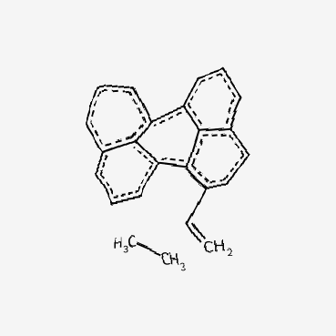 C=Cc1ccc2cccc3c4cccc5cccc(c1c23)c54.CC